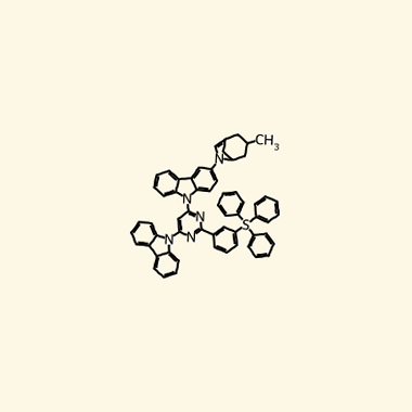 CC1CC2=CN(c3ccc4c(c3)c3ccccc3n4-c3cc(-n4c5ccccc5c5ccccc54)nc(-c4cccc(S(c5ccccc5)(c5ccccc5)c5ccccc5)c4)n3)C(C2)C1